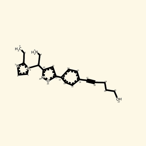 CCc1nccn1C(CN)c1cc(-c2ccc(C#CCCCO)cc2)on1